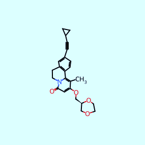 Cc1c(OC[C@@H]2COCCO2)cc(=O)n2c1-c1ccc(C#CC3CC3)cc1CC2